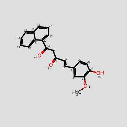 COc1cc(C=CC(=O)CC(=O)c2cccc3ccccc23)ccc1O